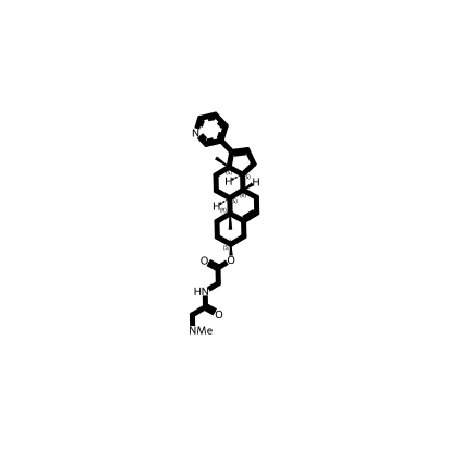 CNCC(=O)NCC(=O)O[C@H]1CC[C@@]2(C)C(=CC[C@@H]3[C@@H]2CC[C@]2(C)C(c4cccnc4)=CC[C@@H]32)C1